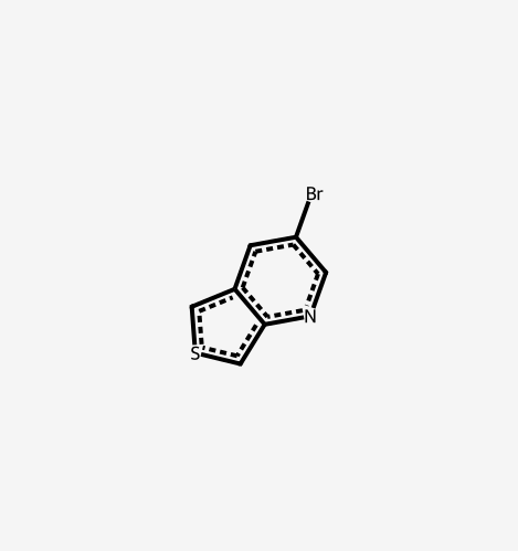 Brc1cnc2cscc2c1